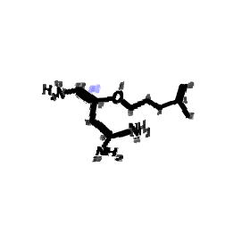 C=C(C)CCCO/C(C=C(N)N)=C/N